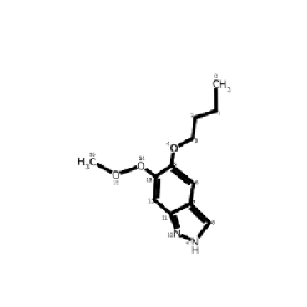 CCCCOc1cc2c[nH]nc2cc1OOC